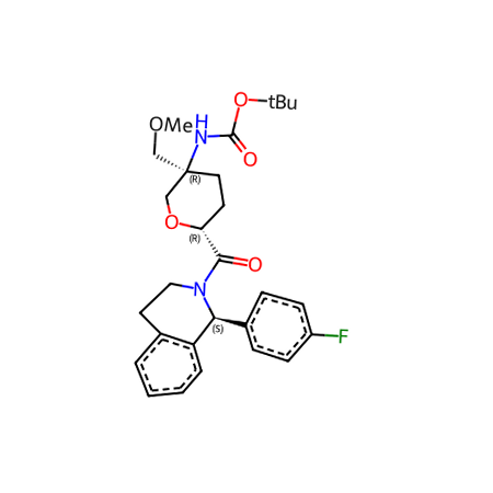 COC[C@]1(NC(=O)OC(C)(C)C)CC[C@H](C(=O)N2CCc3ccccc3[C@@H]2c2ccc(F)cc2)OC1